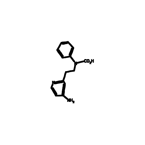 Nc1ccnc(CCN(C(=O)O)c2ccccc2)c1